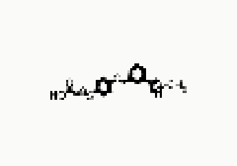 Cn1cc(-c2cccc(COc3ccc(SOCC(=O)O)cc3)c2)cn1